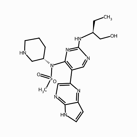 CC[C@@H](CO)Nc1ncc(-c2cnc3[nH]ccc3n2)c(N([C@H]2CCCNC2)S(C)(=O)=O)n1